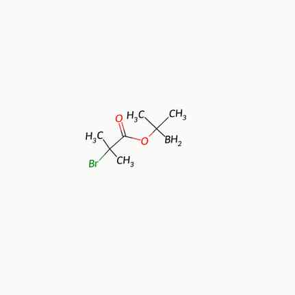 BC(C)(C)OC(=O)C(C)(C)Br